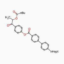 CCCCCCCc1ccc(-c2ccc(C(=O)Oc3ccc(C(=O)C(C)OC(=O)CCCC)cc3)cc2)cc1